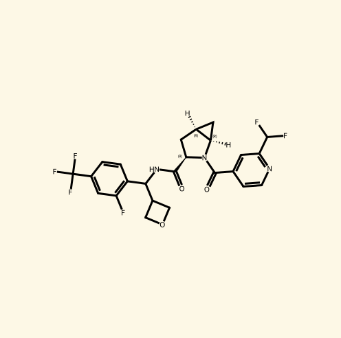 O=C(NC(c1ccc(C(F)(F)F)cc1F)C1COC1)[C@H]1C[C@H]2C[C@H]2N1C(=O)c1ccnc(C(F)F)c1